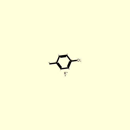 Cc1ccc([O-])cc1.[K+]